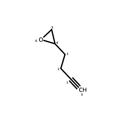 C#CCCC1CO1